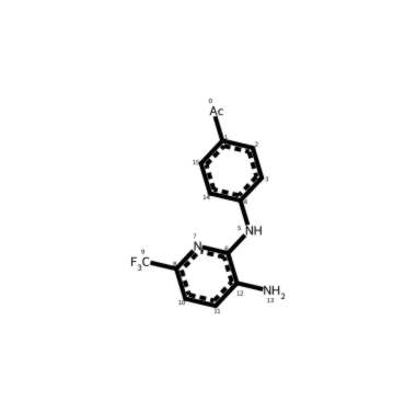 CC(=O)c1ccc(Nc2nc(C(F)(F)F)ccc2N)cc1